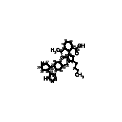 CCCCc1cn(-c2c(CC)cccc2C(=O)O)c(=O)n1Cc1ccc(-c2cnccc2-c2nnn[nH]2)cc1